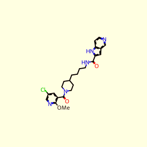 COc1ncc(Cl)cc1C(=O)N1CCC(CCCCNC(=O)c2cc3cnccc3[nH]2)CC1